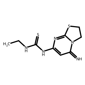 CCNC(=S)Nc1cc(=N)n2c(n1)SCC2